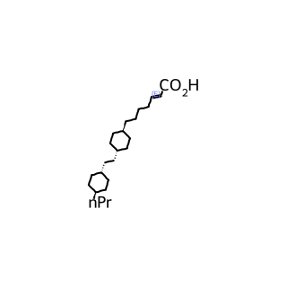 CCC[C@H]1CC[C@H](CC[C@H]2CC[C@H](CCCC/C=C/C(=O)O)CC2)CC1